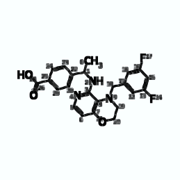 CC(Nc1nccc2c1N(Cc1cc(F)cc(F)c1)CCO2)c1ccc(C(=O)O)cc1